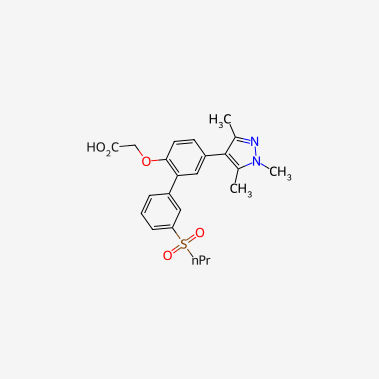 CCCS(=O)(=O)c1cccc(-c2cc(-c3c(C)nn(C)c3C)ccc2OCC(=O)O)c1